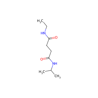 CCNC(=O)CCC(=O)NC(C)C